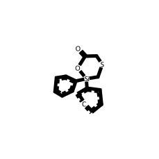 O=C1CSC[Si](c2ccccc2)(c2ccccc2)O1